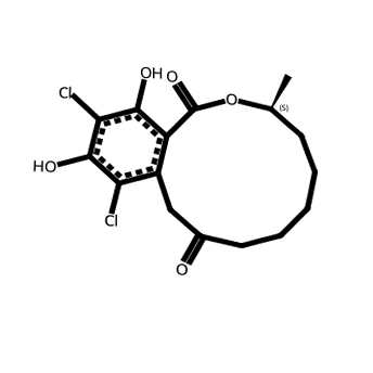 C[C@H]1CCCCCC(=O)Cc2c(Cl)c(O)c(Cl)c(O)c2C(=O)O1